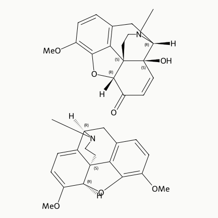 COC1=CC=C2[C@H]3Cc4ccc(OC)c5c4[C@@]2(CCN3C)[C@H]1O5.COc1ccc2c3c1O[C@H]1C(=O)C=C[C@@]4(O)[C@@H](C2)N(C)CC[C@]314